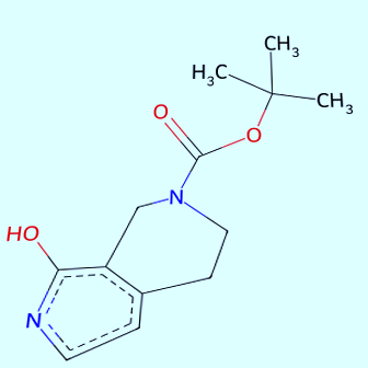 CC(C)(C)OC(=O)N1CCc2ccnc(O)c2C1